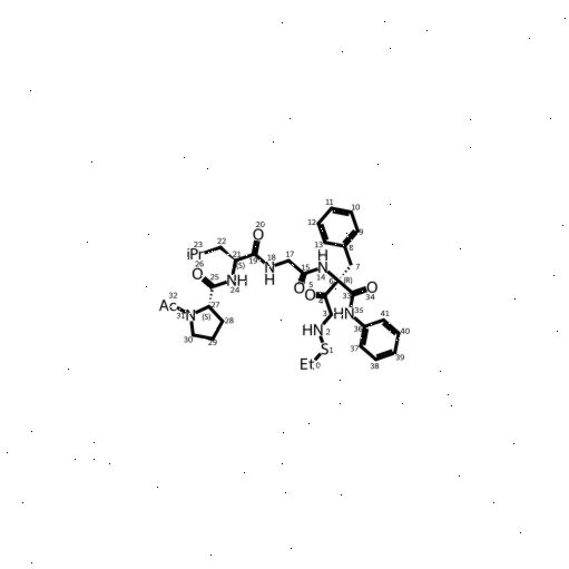 CCSNCC(=O)[C@@](Cc1ccccc1)(NC(=O)CNC(=O)[C@H](CC(C)C)NC(=O)[C@@H]1CCCN1C(C)=O)C(=O)Nc1ccccc1